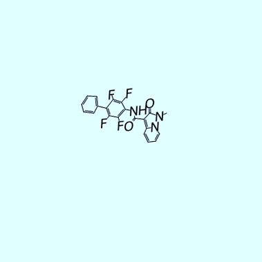 Cn1c(=O)c(C(=O)Nc2c(F)c(F)c(-c3ccccc3)c(F)c2F)c2ccccn21